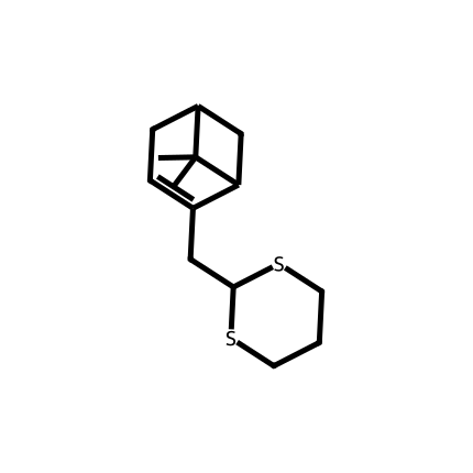 CC1(C)C2CC=C(CC3SCCCS3)C1C2